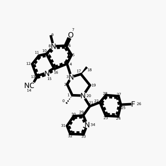 C[C@@H]1CN(c2cc(=O)n(C)c3ccc(C#N)nc23)[C@@H](C)CN1C(c1ccc(F)cc1)c1ccccn1